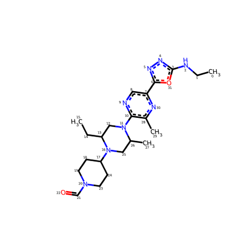 CCNc1nnc(-c2cnc(N3CC(CC)N(C4CCN(C=O)CC4)CC3C)c(C)n2)o1